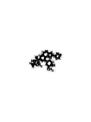 CC1CN(c2cc(S(=O)(=O)NC3(C)CC3)cc3cnc4cc(-c5nncs5)nn4c23)CCN1